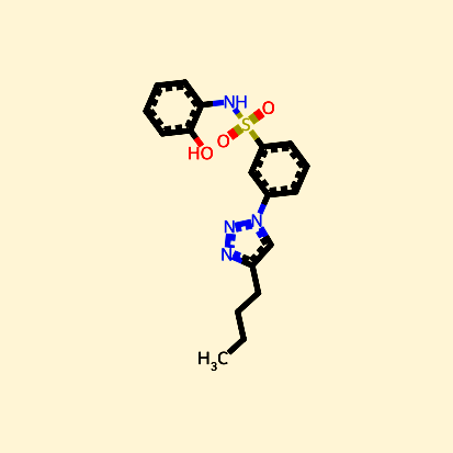 CCCCc1cn(-c2cccc(S(=O)(=O)Nc3ccccc3O)c2)nn1